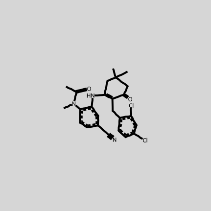 CC(=O)N(C)c1ccc(C#N)cc1NC1=C(Cc2ccc(Cl)cc2Cl)C(=O)CC(C)(C)C1